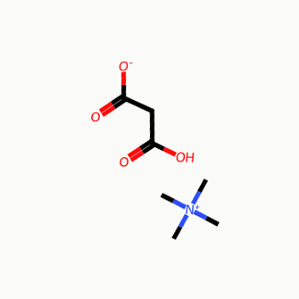 C[N+](C)(C)C.O=C([O-])CC(=O)O